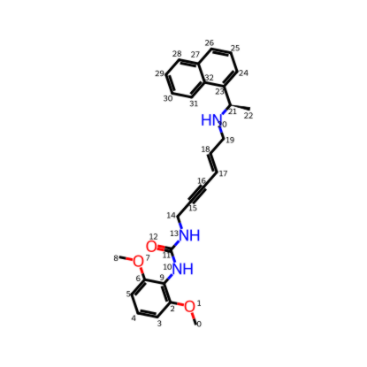 COc1cccc(OC)c1NC(=O)NCC#C/C=C/CN[C@H](C)c1cccc2ccccc12